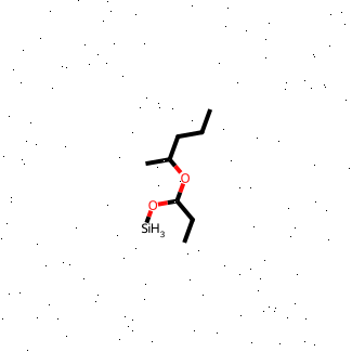 CCCC(C)OC(CC)O[SiH3]